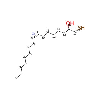 CCCCCCCC/C=C\CCCCCC(O)CS